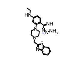 CCNc1ccc(C(=N)/N=N\N)c(N2CCN(Cc3nc4ccccc4s3)CC2)c1